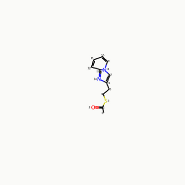 CC(=O)SCCc1cn2ccccc2n1